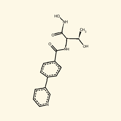 C[C@@H](O)C(NC(=O)c1ccc(-c2cccnc2)cc1)C(=O)NO